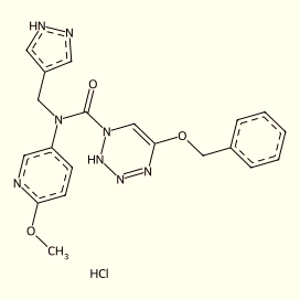 COc1ccc(N(Cc2cn[nH]c2)C(=O)N2C=C(OCc3ccccc3)N=NN2)cn1.Cl